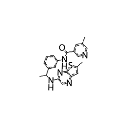 Cc1cncc(C(=O)Nc2cccc(C(C)Nc3cnc4cc(C)sc4n3)c2)c1